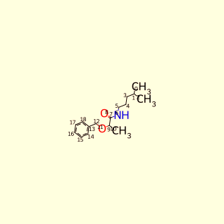 CC(C)CCCNC(=O)C(C)OCc1ccccc1